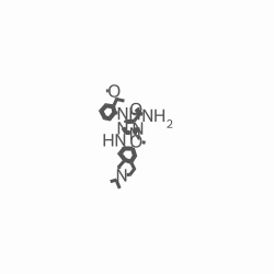 COc1cc2c(cc1Nc1nnc(C(N)=O)c(Nc3ccccc3C(C)OC)n1)CN(C(C)C)CC2